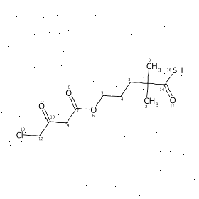 CC(C)(CCCOC(=O)CC(=O)CCl)C(=O)S